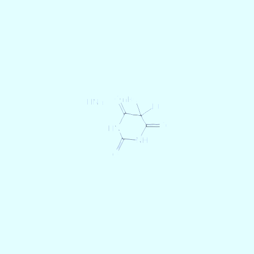 CCCCC1(CC)C(=O)NC(=O)NC1=O.[NaH]